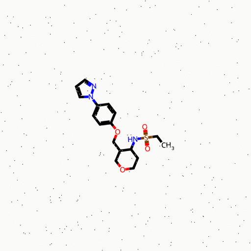 CCS(=O)(=O)NC1CCOCC1COc1ccc(-n2cccn2)cc1